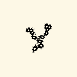 c1cc(-c2ccc3ccc4ccccc4c3c2)cc(N(c2ccc(-c3ccc4c(c3)-c3cccc5cccc-4c35)cc2)c2ccc(-c3cccc4c3oc3ccccc34)cc2)c1